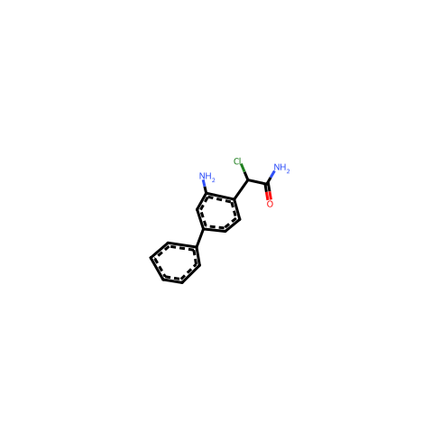 NC(=O)C(Cl)c1ccc(-c2ccccc2)cc1N